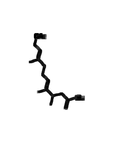 C=C(CC(C)/C(C)=C/CC/C(C)=C/COC(C)=O)C(C)(C)C